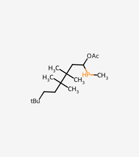 CPC(CC(C)(C)C(C)(C)CCC(C)(C)C)OC(C)=O